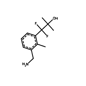 Cc1c(CN)cccc1C(F)(F)C(C)(C)O